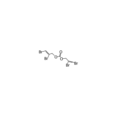 O=C(OCC(Br)=CBr)OCC(Br)=CBr